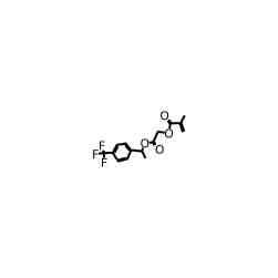 C=C(C)C(=O)OCC(=O)OC(C)c1ccc(C(F)(F)F)cc1